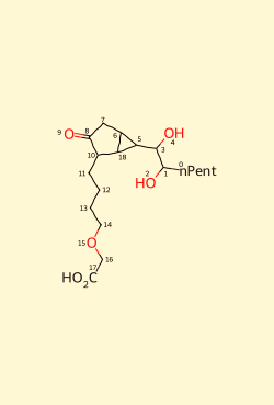 CCCCCC(O)C(O)C1C2CC(=O)C(CCCCOCC(=O)O)C21